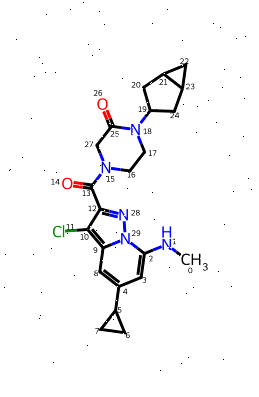 CNc1cc(C2CC2)cc2c(Cl)c(C(=O)N3CCN(C4CC5CC5C4)C(=O)C3)nn12